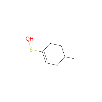 CC1CC=C(SO)CC1